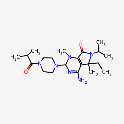 CCC1(C)C2=C(C(=O)N1C(C)C)N(C)C(N1CCN(C(=O)C(C)C)CC1)N=C2N